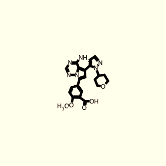 COc1ccc(-c2cc(-c3ccnn3C3CCOCC3)c3c(N)ncnn23)cc1C(=O)O